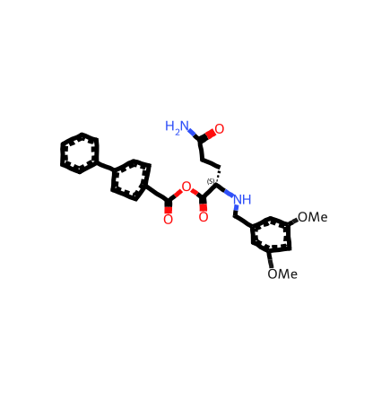 COc1cc(CN[C@@H](CCC(N)=O)C(=O)OC(=O)c2ccc(-c3ccccc3)cc2)cc(OC)c1